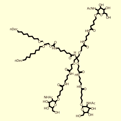 CCCCCCCCCCCCCCCCCCOC[C@H](COC(=O)NCCCCCC(=O)NC(COCCC(=O)NCCCNC(=O)CCCCOC1OC(CO)C(O)C(O)C1NC(C)=O)(COCCC(=O)NCCCNC(=O)CCCCOC1OC(CO)C(O)C(O)C1NC(C)=O)COCCC(=O)NCCCNC(=O)CCCCOC1OC(CO)C(O)C(O)C1NC(C)=O)OCCCCCCCCCCCCCCCCCC